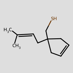 CC(C)=CCC1(CS)CC=CC1